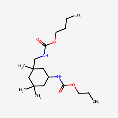 CCCCOC(=O)NCC1(C)CC(NC(=O)OCCC)CC(C)(C)C1